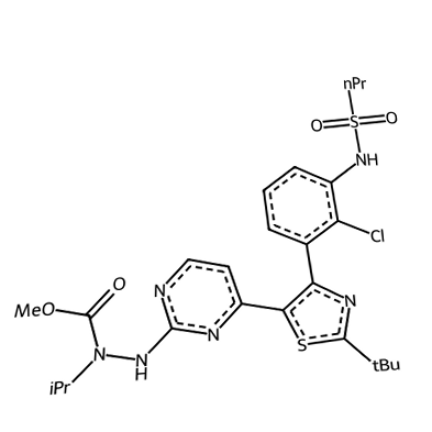 CCCS(=O)(=O)Nc1cccc(-c2nc(C(C)(C)C)sc2-c2ccnc(NN(C(=O)OC)C(C)C)n2)c1Cl